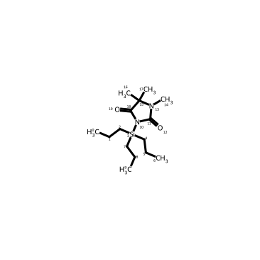 CCC[Si](CCC)(CCC)N1C(=O)N(C)C(C)(C)C1=O